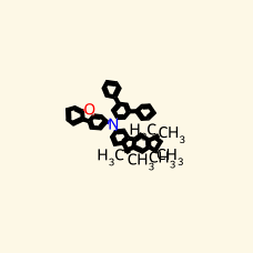 CC1(C)CC(C)(C)c2cc3c(cc21)-c1cc(N(c2cc(-c4ccccc4)cc(-c4ccccc4)c2)c2ccc4c(c2)oc2ccccc24)ccc1C3(C)C